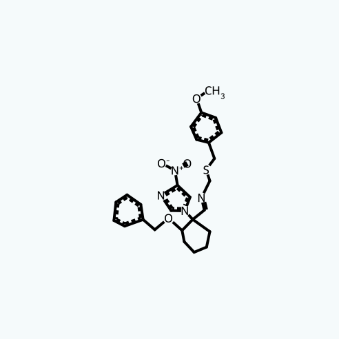 COc1ccc(CSCN=CC2(n3cnc([N+](=O)[O-])c3)CCCCC2OCc2ccccc2)cc1